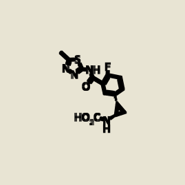 Cc1nnc(NC(=O)c2cc([C@@H]3C[C@H]3NC(=O)O)ccc2F)s1